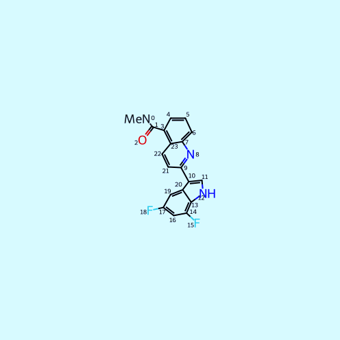 CNC(=O)c1cccc2nc(-c3c[nH]c4c(F)cc(F)cc34)ccc12